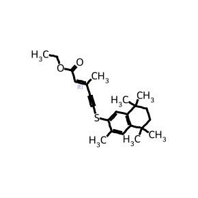 CCOC(=O)/C=C(\C)C#CSc1cc2c(cc1C)C(C)(C)CCC2(C)C